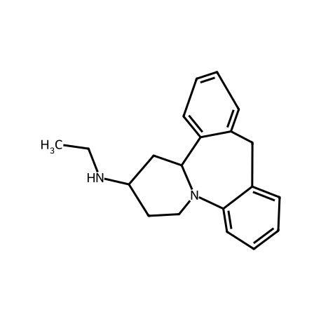 CCNC1CCN2c3ccccc3Cc3ccccc3C2C1